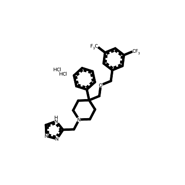 Cl.Cl.FC(F)(F)c1cc(COCC2(c3ccccc3)CCN(Cc3nnc[nH]3)CC2)cc(C(F)(F)F)c1